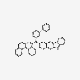 c1ccc(-c2cccc(N(c3ccc4cc5sc6ccccc6c5cc4c3)c3cc4ccc5ccccc5c4c4ccccc34)c2)cc1